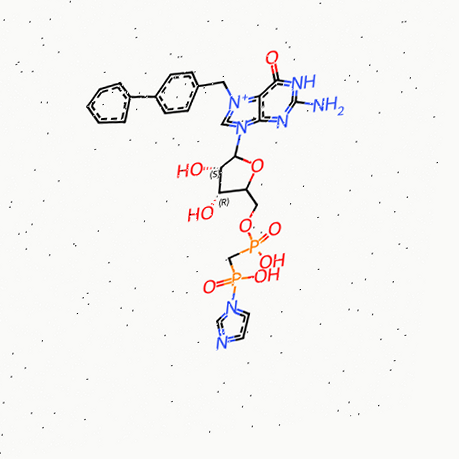 Nc1nc2c(c(=O)[nH]1)[n+](Cc1ccc(-c3ccccc3)cc1)cn2C1OC(COP(=O)(O)CP(=O)(O)n2ccnc2)[C@H](O)[C@@H]1O